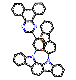 c1cc(-c2cnc3c4ccccc4c4ccccc4c3n2)cc(-n2c3ccccc3c3ccc4c5ccccc5n(-c5ccc6c(c5)sc5ccccc56)c4c32)c1